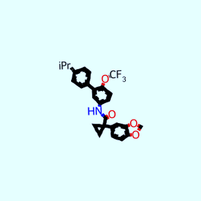 CC(C)c1ccc(-c2cc(NC(=O)C3(c4ccc5c(c4)OCO5)CC3)ccc2OC(F)(F)F)cc1